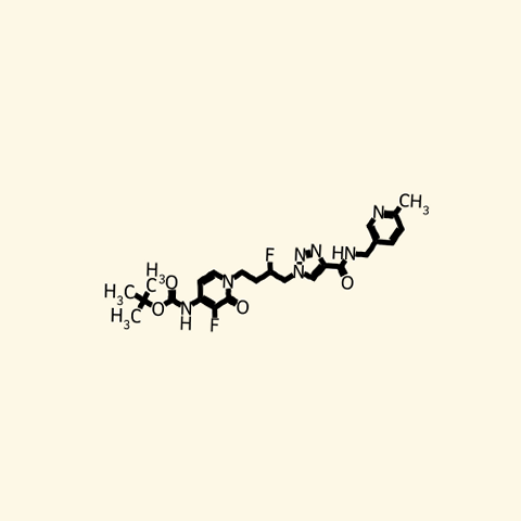 Cc1ccc(CNC(=O)c2cn(CC(F)CCn3ccc(NC(=O)OC(C)(C)C)c(F)c3=O)nn2)cn1